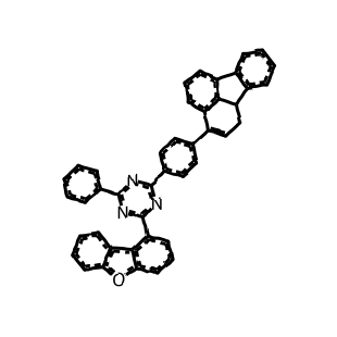 C1=C(c2ccc(-c3nc(-c4ccccc4)nc(-c4cccc5oc6ccccc6c45)n3)cc2)c2cccc3c2C(C1)c1ccccc1-3